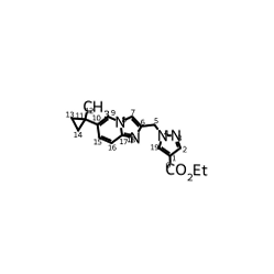 CCOC(=O)c1cnn(Cc2cn3cc(C4(C)CC4)ccc3n2)c1